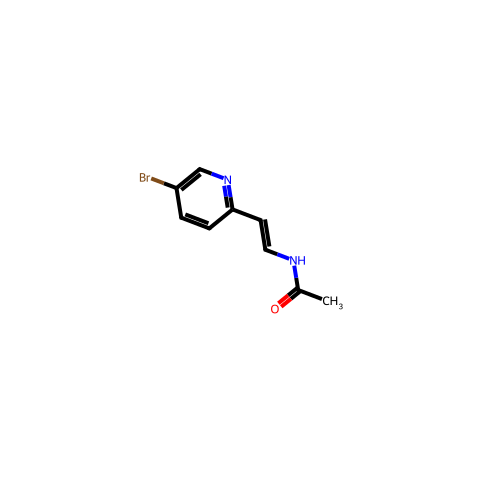 CC(=O)NC=Cc1ccc(Br)cn1